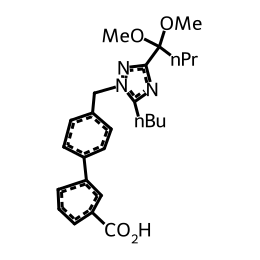 CCCCc1nc(C(CCC)(OC)OC)nn1Cc1ccc(-c2cccc(C(=O)O)c2)cc1